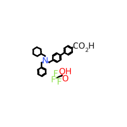 O=C(O)C(F)(F)F.O=C(O)c1ccc(-c2ccc(CN(Cc3ccccc3)CC3CCCCC3)cc2)cc1